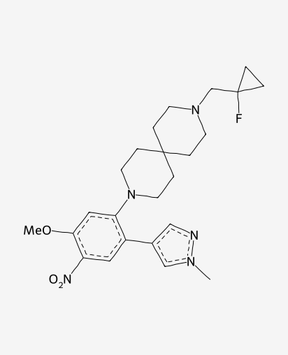 COc1cc(N2CCC3(CCN(CC4(F)CC4)CC3)CC2)c(-c2cnn(C)c2)cc1[N+](=O)[O-]